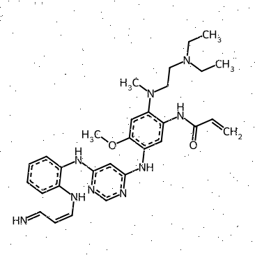 C=CC(=O)Nc1cc(Nc2cc(Nc3ccccc3N/C=C\C=N)ncn2)c(OC)cc1N(C)CCN(CC)CC